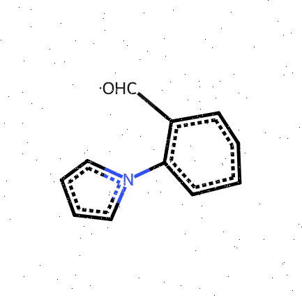 O=[C]c1ccccc1-n1cccc1